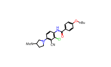 CCCCOc1ccc(C(=O)Nc2ccc(N3CCC(NC)C3)c(C#N)c2Cl)cc1